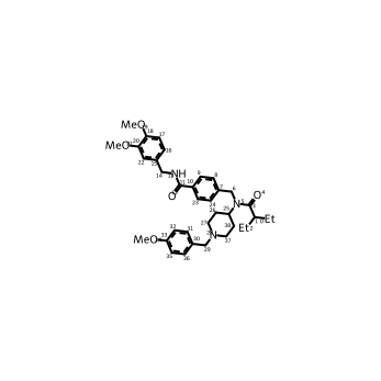 CCC(CC)C(=O)N(Cc1ccc(C(=O)NCc2ccc(OC)c(OC)c2)cc1)C1CCN(Cc2ccc(OC)cc2)CC1